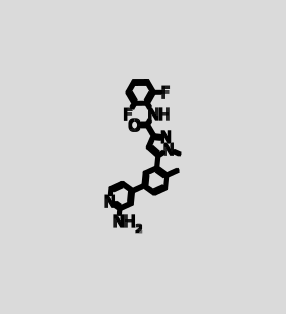 Cc1ccc(-c2ccnc(N)c2)cc1-c1cc(C(=O)Nc2c(F)cccc2F)nn1C